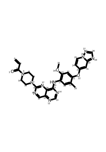 C=CC(=O)N1CCN(c2ncc3ncnc(Nc4cc(C)c(Oc5ccn6ncnc6c5)cc4OC)c3n2)CC1